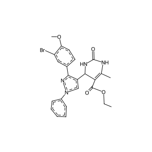 CCOC(=O)C1=C(C)NC(=O)NC1c1cn(-c2ccccc2)nc1-c1ccc(OC)c(Br)c1